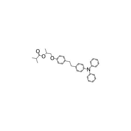 CC(COc1ccc(CCc2ccc(N(c3ccccc3)c3ccccc3)cc2)cc1)OC(=O)C(C)C